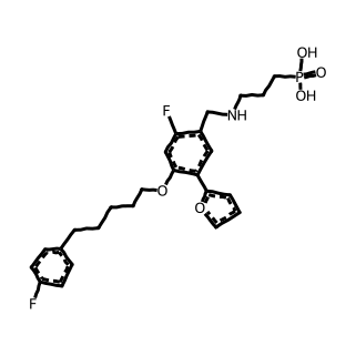 O=P(O)(O)CCCNCc1cc(-c2ccco2)c(OCCCCCc2ccc(F)cc2)cc1F